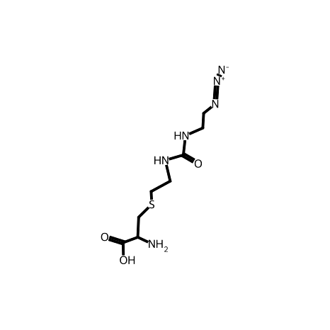 [N-]=[N+]=NCCNC(=O)NCCSCC(N)C(=O)O